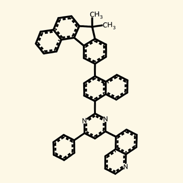 CC1(C)c2ccc(-c3ccc(-c4nc(-c5ccccc5)cc(-c5cccc6ncccc56)n4)c4ccccc34)cc2-c2c1ccc1ccccc21